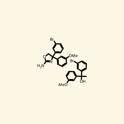 COc1cccc(C(C)(O)c2cccc(Br)c2)c1.COc1cccc(C2(c3cccc(Br)c3)COC(N)=N2)c1